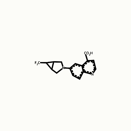 O=C(O)c1ccnc2ccc(N3CC4C(C3)C4C(F)(F)F)cc12